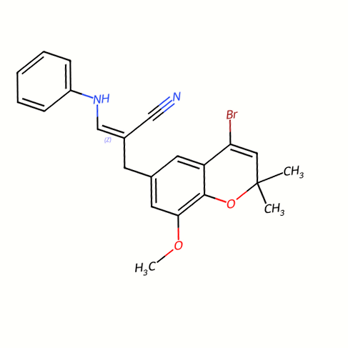 COc1cc(C/C(C#N)=C/Nc2ccccc2)cc2c1OC(C)(C)C=C2Br